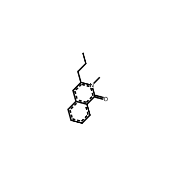 CCCc1cc2ccccc2c(=O)n1C